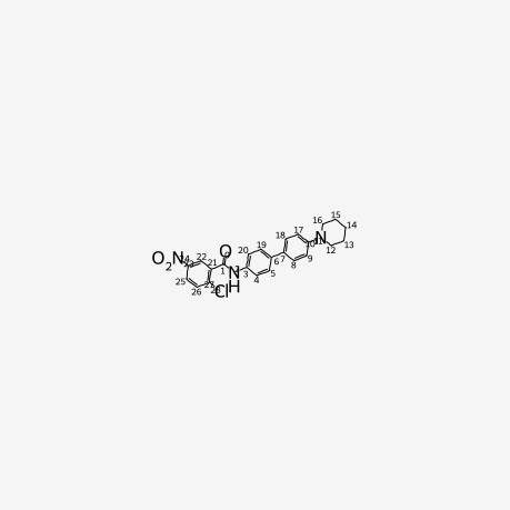 O=C(Nc1ccc(-c2ccc(N3CCCCC3)cc2)cc1)c1cc([N+](=O)[O-])ccc1Cl